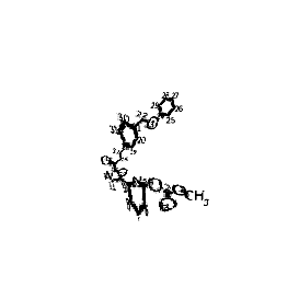 COC(=O)Oc1cccc(-c2cnc(C(=O)CCc3ccc(COc4ccccc4)cc3)o2)n1